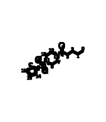 CCCCC(=O)N1CCN(S(=O)(=O)c2cccs2)CC1